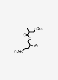 CCCCCCCCCCCCC(CCC)COC(=O)C(C)CCCCCCCCCCC